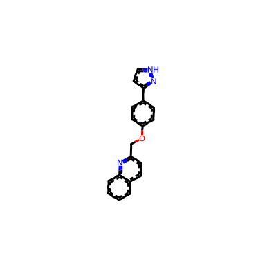 c1ccc2nc(COc3ccc(-c4cc[nH]n4)cc3)ccc2c1